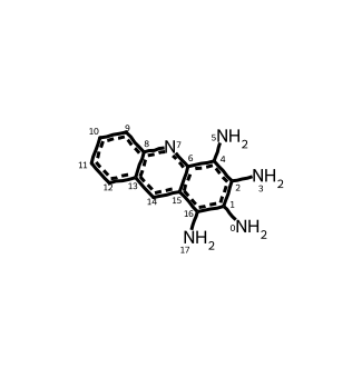 Nc1c(N)c(N)c2nc3ccccc3cc2c1N